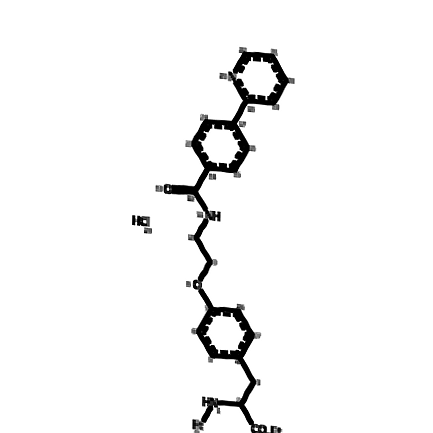 CCNC(Cc1ccc(OCCNC(=O)c2ccc(-c3ccccn3)cc2)cc1)C(=O)OCC.Cl